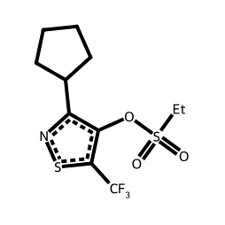 CCS(=O)(=O)Oc1c(C2CCCC2)nsc1C(F)(F)F